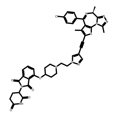 Cc1c(C#Cc2cnn(CCN3CCC(Oc4cccc5c4C(=O)N(C4CCC(=O)NC4=O)C5=O)CC3)c2)sc2c1C(c1ccc(Cl)cc1)=N[C@@H](C)c1nnc(C)n1-2